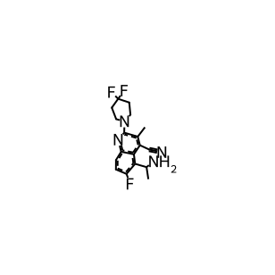 Cc1c(N2CCC(F)(F)CC2)nc2ccc(F)c(C(C)N)c2c1C#N